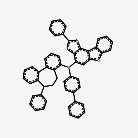 c1ccc(-c2ccc(N(c3cccc4c3CCC(c3ccccc3)c3ccccc3-4)c3cc4oc5ccccc5c4c4nc(-c5ccccc5)oc34)cc2)cc1